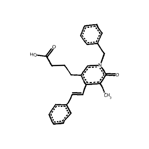 Cc1c(/C=C/c2ccccc2)c(CCCC(=O)O)cn(Cc2ccccc2)c1=O